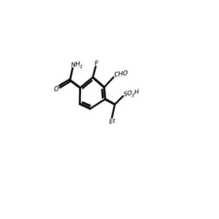 CCC(c1ccc(C(N)=O)c(F)c1C=O)S(=O)(=O)O